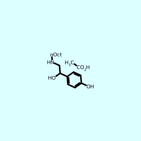 CC(=O)O.CCCCCCCCNCC(O)c1ccc(O)cc1